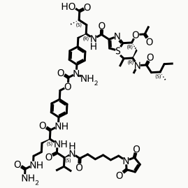 CC[C@H](C)CC(=O)N(C)[C@H](C[C@@H](OC(C)=O)c1nc(C(=O)N[C@@H](Cc2ccc(N(N)C(=O)OCc3ccc(NC(=O)[C@H](CCCNC(N)=O)NC(=O)[C@@H](NC(=O)CCCCCN4C(=O)C=CC4=O)C(C)C)cc3)cc2)C[C@H](C)C(=O)O)cs1)C(C)C